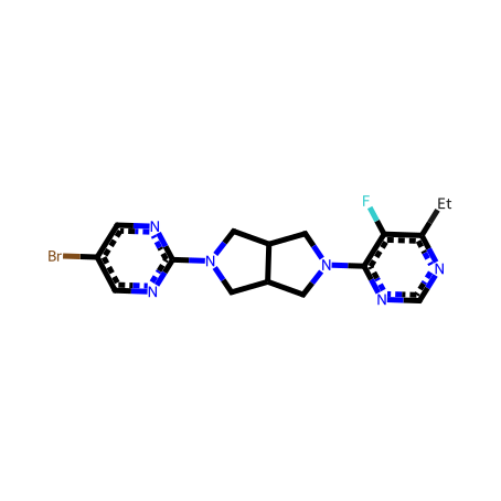 CCc1ncnc(N2CC3CN(c4ncc(Br)cn4)CC3C2)c1F